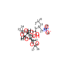 CC(C)CC(CC(=O)O[C@@]1(O)[C@@H]([C@H]2COC(C)(C)O2)O[C@@H]2OC(C)(C)O[C@@H]21)C[N+](=O)[O-]